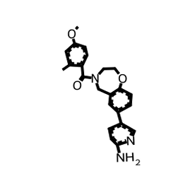 COc1ccc(C(=O)N2CCOc3ccc(-c4ccc(N)nc4)cc3C2)c(C)c1